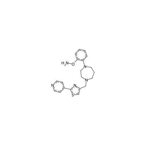 NOc1ccccc1N1CCCN(Cc2csc(-c3ccncc3)n2)CC1